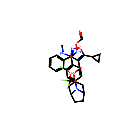 CNC(NOC=O)c1ccc(N2C3CCC2CC(OCc2c(-c4ccccc4OC(F)(F)F)noc2C2CC2)C3)cc1F